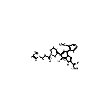 COC(=O)c1cc2c(-c3ccncc3OC)cc(C3=CCCN(C(=O)CCn4ccnn4)C3)c(F)c2[nH]1